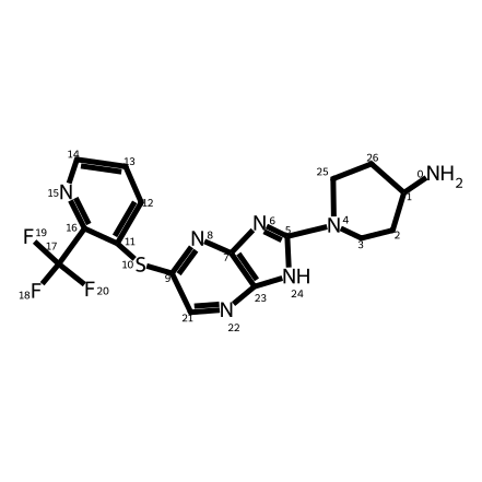 NC1CCN(c2nc3nc(Sc4cccnc4C(F)(F)F)cnc3[nH]2)CC1